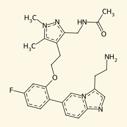 CC(=O)NCc1nn(C)c(C)c1CCOc1cc(F)ccc1-c1ccc2ncc(CCN)n2c1